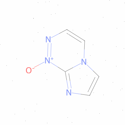 [O-][n+]1nccn2ccnc21